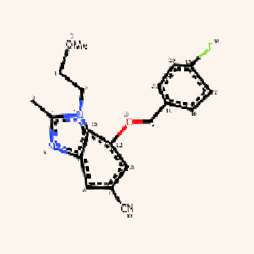 COCCn1c(C)nc2cc(C#N)cc(OCc3ccc(F)cc3)c21